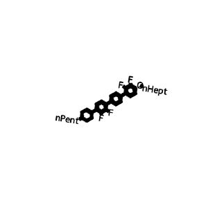 CCCCCCCOc1ccc(-c2ccc(-c3ccc(C4=CCC(CCCCC)CC4)c(F)c3F)cc2)c(F)c1F